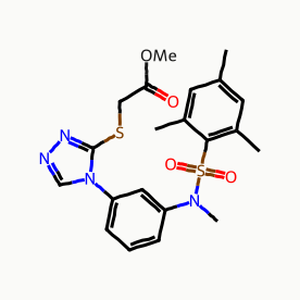 COC(=O)CSc1nncn1-c1cccc(N(C)S(=O)(=O)c2c(C)cc(C)cc2C)c1